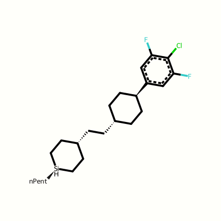 CCCCC[Si@H]1CC[C@H](CC[C@H]2CC[C@H](c3cc(F)c(Cl)c(F)c3)CC2)CC1